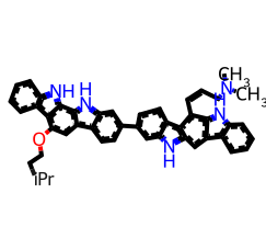 CC(C)CCOc1cc2c3ccc(-c4ccc5c(c4)[nH]c4cc6c([nH]c7ccccc76)c(/C=C\CN(C)C)c45)cc3[nH]c2c2[nH]c3ccccc3c12